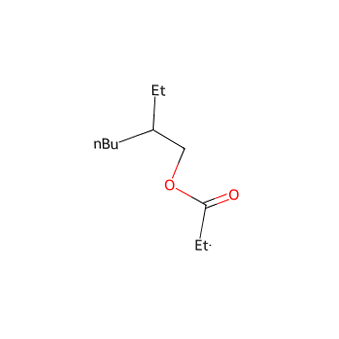 C[CH]C(=O)OCC(CC)CCCC